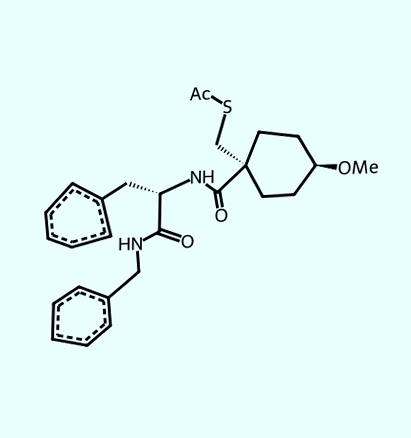 CO[C@H]1CC[C@@](CSC(C)=O)(C(=O)N[C@@H](Cc2ccccc2)C(=O)NCc2ccccc2)CC1